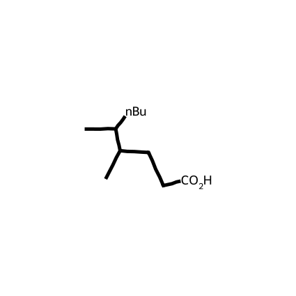 CCCCC(C)C(C)CCC(=O)O